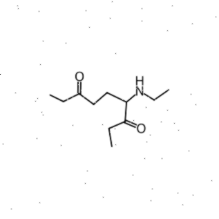 CCNC(CCC(=O)CC)C(=O)CC